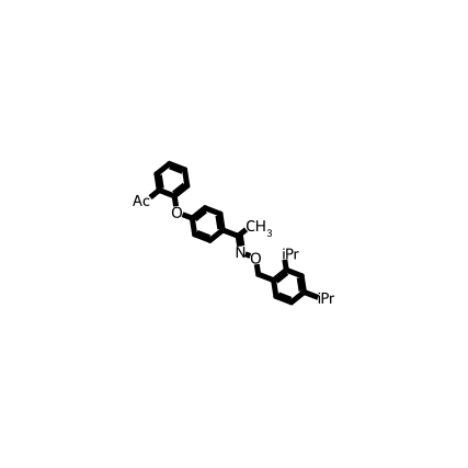 CC(=O)c1ccccc1Oc1ccc(/C(C)=N/OCc2ccc(C(C)C)cc2C(C)C)cc1